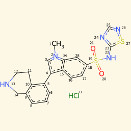 Cl.Cn1cc(-c2cccc3c2CCNC3)c2ccc(S(=O)(=O)Nc3ncns3)cc21